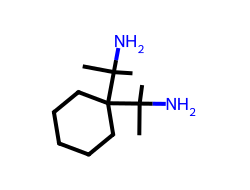 CC(C)(N)C1(C(C)(C)N)CCCCC1